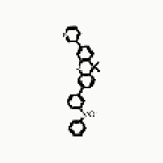 CC1(C)c2ccc(-c3cccnc3)cc2Oc2cc(-c3cccc([S+]([O-])c4ccccc4)c3)ccc21